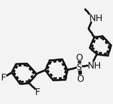 CNCc1cccc(NS(=O)(=O)c2ccc(-c3ccc(F)cc3F)cc2)c1